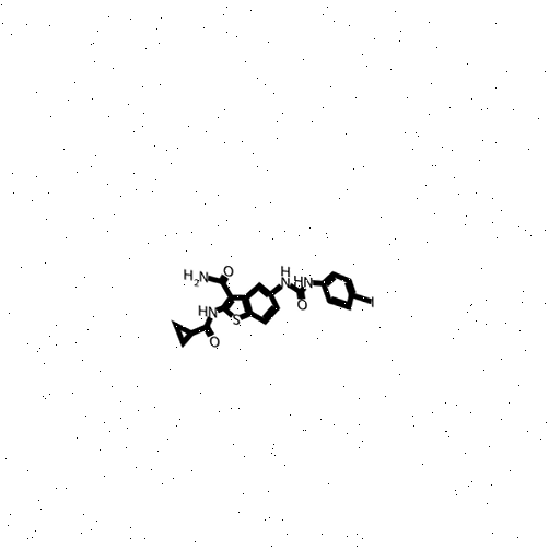 NC(=O)c1c(NC(=O)C2CC2)sc2ccc(NC(=O)Nc3ccc(I)cc3)cc12